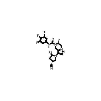 C[C@H]1Cn2ncc(N3C[C@H](C#N)CC3=O)c2CN1C(=O)Nc1cc(F)c(F)c(F)c1